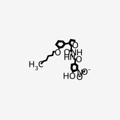 CCCCCCOc1cccc(-c2ccoc2C(=O)NNC(=O)c2ccc(O)c([N+](=O)[O-])c2)c1